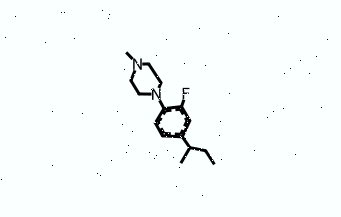 CCC(C)c1ccc(N2CCN(C)CC2)c(F)c1